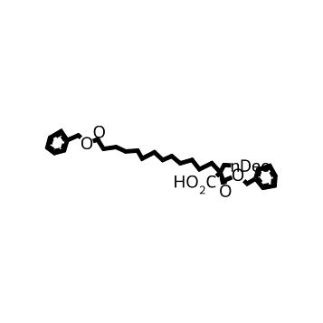 CCCCCCCCCCCC(CCCCCCCCCCCCC(=O)OCc1ccccc1)(C(=O)O)C(=O)OCc1ccccc1